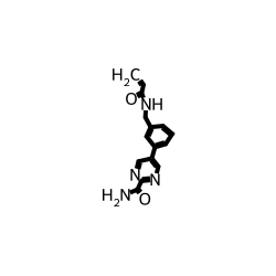 C=CC(=O)NCc1cccc(-c2cnc(C(N)=O)nc2)c1